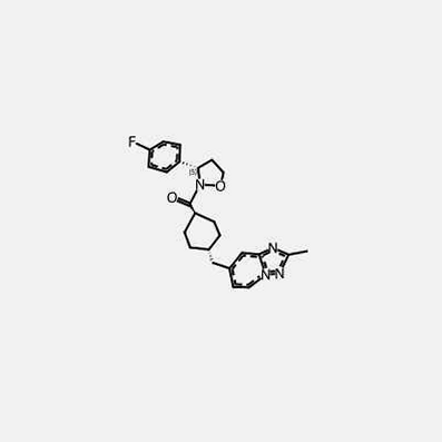 Cc1nc2cc(C[C@H]3CC[C@H](C(=O)N4OCC[C@H]4c4ccc(F)cc4)CC3)ccn2n1